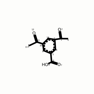 CC(=O)c1cc(C(=O)O)cc(C(=O)I)c1